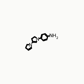 Nc1ccc(N2C=C(N3C=CCC3)CC2)cc1